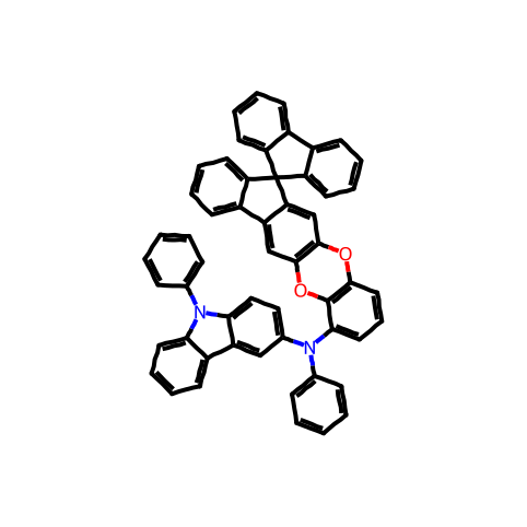 c1ccc(N(c2ccc3c(c2)c2ccccc2n3-c2ccccc2)c2cccc3c2Oc2cc4c(cc2O3)C2(c3ccccc3-c3ccccc32)c2ccccc2-4)cc1